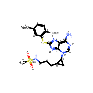 COc1ccc(OC)c(Sc2nc3c(N)ncn(C4CC4CCCNS(C)(=O)=O)c-3n2)c1